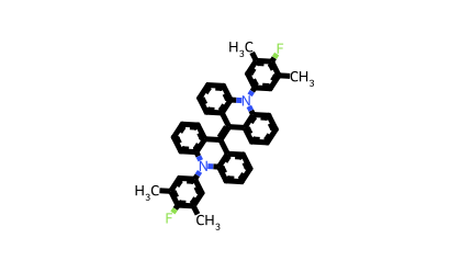 Cc1cc(N2c3ccccc3C(=C3c4ccccc4N(c4cc(C)c(F)c(C)c4)c4ccccc43)c3ccccc32)cc(C)c1F